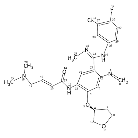 C=Nc1cc(O[C@H]2CCOC2)c(NC(=O)/C=C/CN(C)C)cc1/C(=N\C)Nc1ccc(F)c(Cl)c1